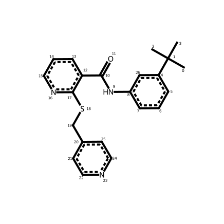 CC(C)(C)c1cccc(NC(=O)c2cccnc2SCc2ccncc2)c1